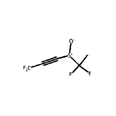 [CH2]C(F)(F)[S+]([O-])C#CC(F)(F)F